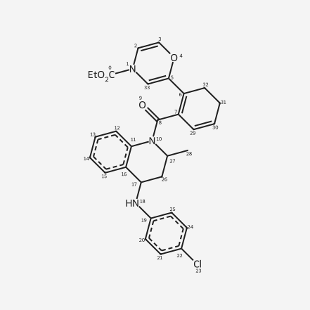 CCOC(=O)N1C=COC(C2=C(C(=O)N3c4ccccc4C(Nc4ccc(Cl)cc4)CC3C)C=CCC2)=C1